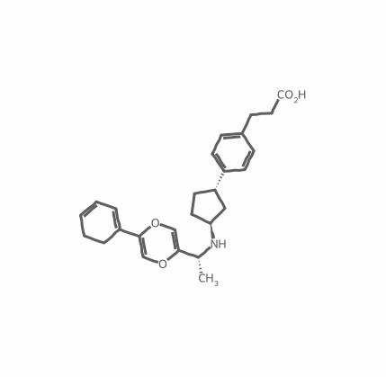 C[C@@H](N[C@H]1CC[C@H](c2ccc(CCC(=O)O)cc2)C1)C1=COC(C2=CC=CCC2)=CO1